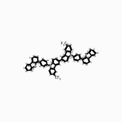 FC(F)(F)c1ccc2c(c1)c1cc(-c3ccc4c(c3)c3cc(C(F)(F)F)ccc3n4-c3ccc(-c4cccc5c4sc4ccccc45)cc3)ccc1n2-c1ccc(-c2cccc3c2sc2ccccc23)cc1